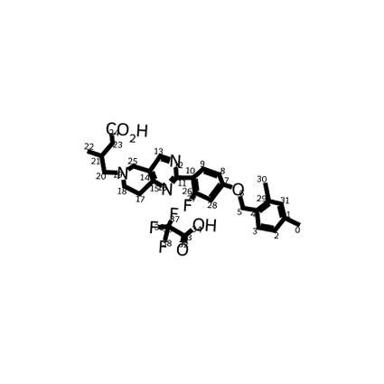 Cc1ccc(COc2ccc(-c3ncc4c(n3)CCN(CC(C)CC(=O)O)C4)c(F)c2)c(C)c1.O=C(O)C(F)(F)F